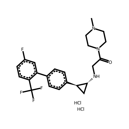 CN1CCN(C(=O)CN[C@@H]2C[C@H]2c2ccc(-c3cc(F)ccc3C(F)(F)F)cc2)CC1.Cl.Cl